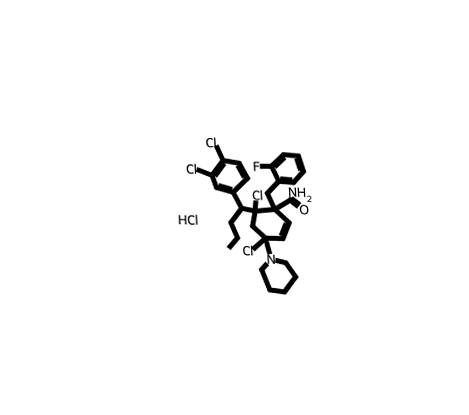 CCCC(c1ccc(Cl)c(Cl)c1)C1(Cl)CC(Cl)(N2CCCCC2)C=CC1(Cc1ccccc1F)C(N)=O.Cl